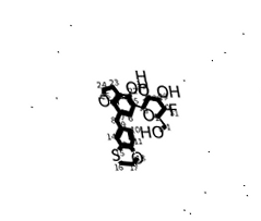 OC[C@H]1O[C@@H](c2cc(Cc3ccc4c(c3)SCCO4)c3c(c2O)CCO3)[C@H](O)[C@@H](O)[C@@H]1F